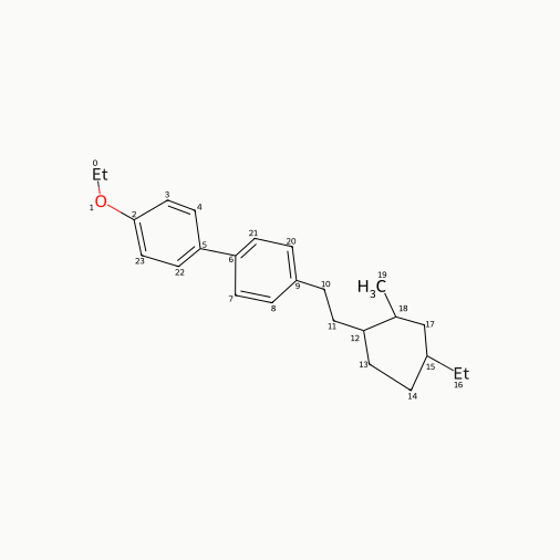 CCOc1ccc(-c2ccc(CCC3CCC(CC)CC3C)cc2)cc1